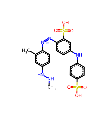 CNNc1ccc(/N=N\c2ccc(Nc3ccc(S(=O)(=O)O)cc3)cc2S(=O)(=O)O)c(C)c1